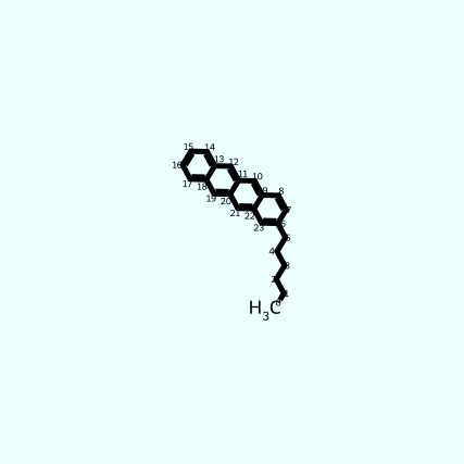 CCCCCCc1ccc2cc3cc4ccccc4cc3cc2c1